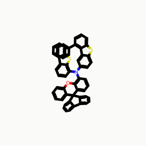 c1ccc(-c2cccc3sc4ccc(N(c5cccc6c5Oc5ccccc5C65c6ccccc6-c6ccccc65)c5cccc6c5sc5ccccc56)cc4c23)cc1